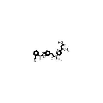 CC(CC(=O)O)c1ccc(N(C)C(=O)Cc2ccc3nc(Nc4ccccc4C#N)oc3c2)cn1